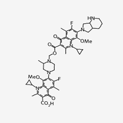 COc1c(N2CCN(COC(=O)c3c(C)n(C4CC4)c4c(OC)c(N5CC6CCCNC6C5)c(F)c(C)c4c3=O)C(C)C2)c(F)c(C)c2c(=O)c(C(=O)O)c(C)n(C3CC3)c12